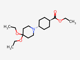 CCOC(=O)[C@H]1CC[C@H](N2CCC(OCC)(OCC)CC2)CC1